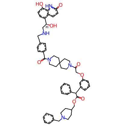 O=C(OCC1CCN(Cc2ccccc2)CC1)C(c1ccccc1)c1cccc(OCC(=O)N2CCC3(CC2)CCN(C(=O)c2ccc(CNC[C@H](O)c4ccc(O)c5[nH]c(=O)ccc45)cc2)CC3)c1